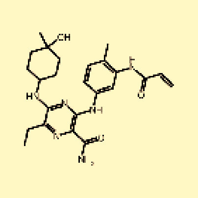 C=CC(=O)Nc1cc(Nc2nc(NC3CCC(C)(O)CC3)c(CC)nc2C(N)=O)ccc1C